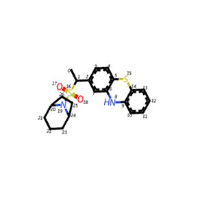 CC(c1ccc2c(c1)Nc1ccccc1S2)S(=O)(=O)N1C2CCCC1CC2